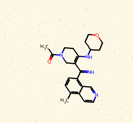 CC(=O)N1CCC(NC2CCOCC2)=C(C(=N)c2ccc(C)c3ccncc23)C1